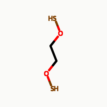 SOCCOS